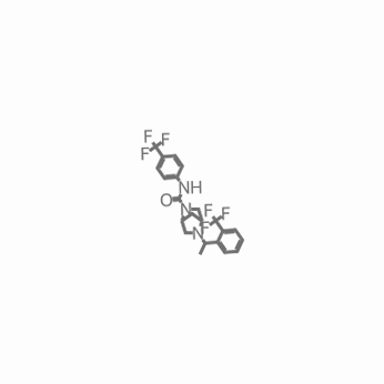 CC(c1ccccc1C(F)(F)F)N1CC2CC1CN2C(=O)Nc1ccc(C(F)(F)F)cc1